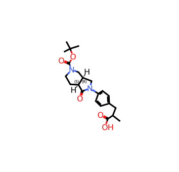 CC(Cc1ccc(N2C[C@@H]3CN(C(=O)OC(C)(C)C)CC[C@@H]3C2=O)cc1)C(=O)O